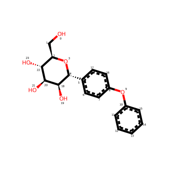 OC[C@H]1O[C@H](c2ccc(Oc3ccccc3)cc2)[C@@H](O)[C@@H](O)[C@@H]1O